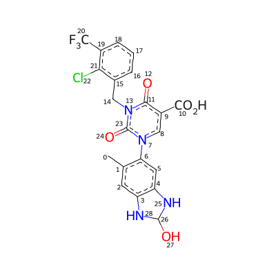 Cc1cc2c(cc1-n1cc(C(=O)O)c(=O)n(Cc3cccc(C(F)(F)F)c3Cl)c1=O)NC(O)N2